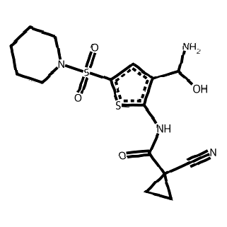 N#CC1(C(=O)Nc2sc(S(=O)(=O)N3CCCCC3)cc2C(N)O)CC1